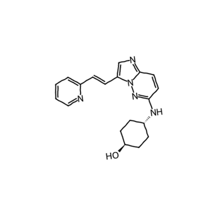 O[C@H]1CC[C@H](Nc2ccc3ncc(C=Cc4ccccn4)n3n2)CC1